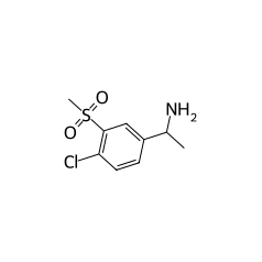 CC(N)c1ccc(Cl)c(S(C)(=O)=O)c1